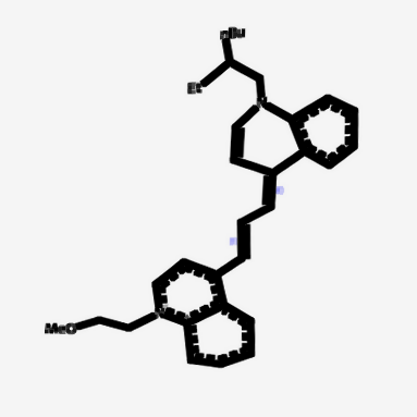 CCCCC(CC)CN1C=C/C(=C\C=C\c2cc[n+](CCOC)c3ccccc23)c2ccccc21